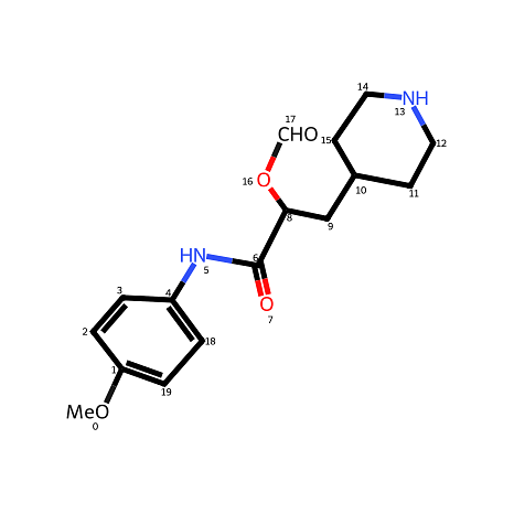 COc1ccc(NC(=O)C(CC2CCNCC2)OC=O)cc1